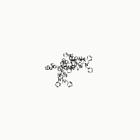 CO[C@@H]1[C@H](O[Si](C)(C)C(C)(C)C)[C@@H](COP(=O)(OCc2ccccc2C(F)(F)F)O[C@H]2[C@@H](OC)[C@H](n3cnc4c(N(Cc5ccccc5)Cc5ccccc5)ncnc43)O[C@@H]2CO[Si](C)(C)C(C)(C)C)O[C@H]1n1cnc2c(N(Cc3ccccc3)Cc3ccccc3)ncnc21